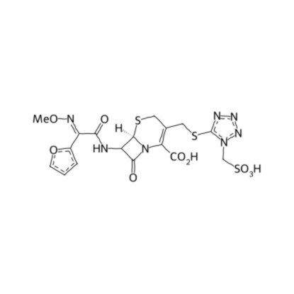 CO/N=C(/C(=O)NC1C(=O)N2C(C(=O)O)=C(CSc3nnnn3CS(=O)(=O)O)CS[C@H]12)c1ccco1